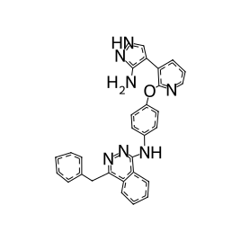 Nc1n[nH]cc1-c1cccnc1Oc1ccc(Nc2nnc(Cc3ccccc3)c3ccccc23)cc1